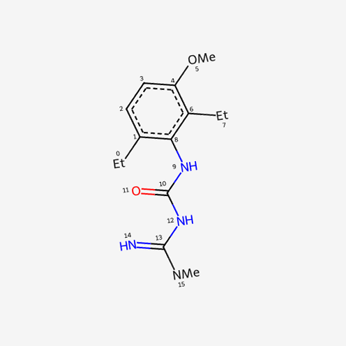 CCc1ccc(OC)c(CC)c1NC(=O)NC(=N)NC